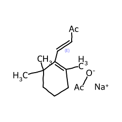 CC(=O)/C=C/C1=C(C)CCCC1(C)C.CC(=O)[O-].[Na+]